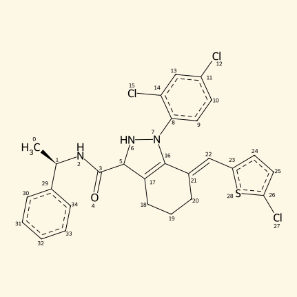 C[C@@H](NC(=O)C1NN(c2ccc(Cl)cc2Cl)C2=C1CCC/C2=C\c1ccc(Cl)s1)c1ccccc1